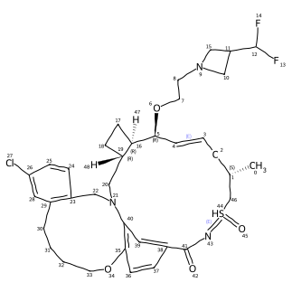 C[C@H]1C/C=C/[C@H](OCCN2CC(C(F)F)C2)[C@@H]2CC[C@H]2CN2Cc3ccc(Cl)cc3CCCCOc3ccc(cc32)C(=O)/N=[SH](=O)\C1